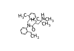 C=Cc1ccccc1N(Cc1ccccc1C)C(=O)CCC(C)(C)NC